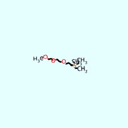 CCS(C)(CC)CCCOCCOCCOC